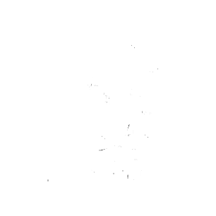 CCCOC(=O)NCC1(O)[C@H](OC(C)=O)[C@]2(CC)C=CCN3CC[C@@]4(c5cc([C@@]6(C(=O)OC)C[C@@H]7C=C(CC)CN(CCc8c6[nH]c6ccccc86)C7)c(OC)cc5N(C)[C@@H]14)[C@@H]32